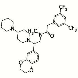 CN(CC(c1ccc2c(c1)OCCO2)N1CCC(N2CCCCC2)CC1)C(=O)Cc1cc(C(F)(F)F)cc(C(F)(F)F)c1